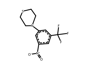 O=[N+]([O-])c1cc(N2CCSCC2)cc(C(F)(F)F)c1